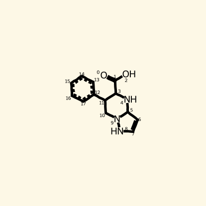 O=C(O)C1NC2C=CNN2CC1c1ccccc1